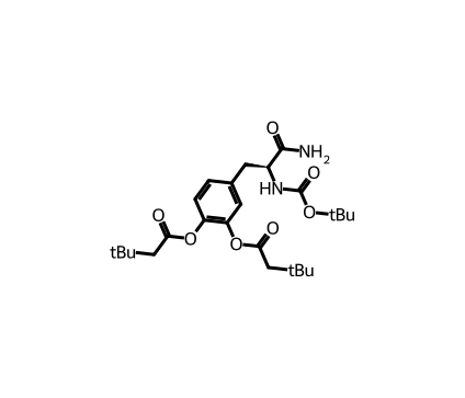 CC(C)(C)CC(=O)Oc1ccc(C[C@H](NC(=O)OC(C)(C)C)C(N)=O)cc1OC(=O)CC(C)(C)C